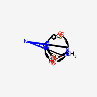 C[C@]12N=C3N=C(N1)c1ccc(cc1)CS(=O)(=O)Cc1ccc(cc1)C1=NC(=N[C@](C)(N1)c1ccc(cc1)CS(=O)(=O)Cc1ccc2cc1)c1ccc(cc1)CS(=O)(=O)Cc1ccc3cc1